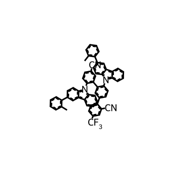 Cc1ccccc1-c1ccc2c(c1)c1ccccc1n2-c1ccc(C#N)cc1-c1cc(-c2ccc(C(F)(F)F)cc2C#N)ccc1-n1c2ccccc2c2cc(-c3ccccc3C)ccc21